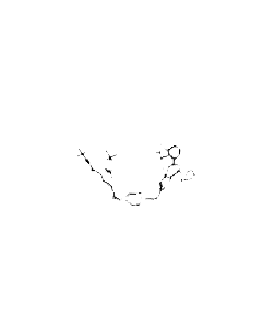 CC(C)(C)C#CC(=O)CCC(NC(=O)OC(C)(C)C)C(=O)N1CCN(Cc2cc3nc(-c4cccc5[nH]ncc45)nc(N4CCOCC4)c3s2)CC1